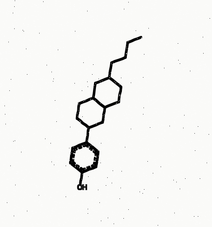 CCCCC1CCC2CC(c3ccc(O)cc3)CCC2C1